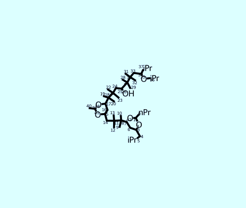 CCCC1OC(CC(C)C)CC(C(C)(C)C(C)(C)CC2CC(C(C)(C)C(C)(C)CC(O)C(C)(C)C(C)(C)CC(OC(C)C)C(C)C)OC(C)O2)O1